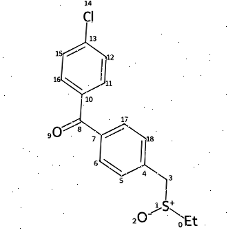 CC[S+]([O-])Cc1ccc(C(=O)c2ccc(Cl)cc2)cc1